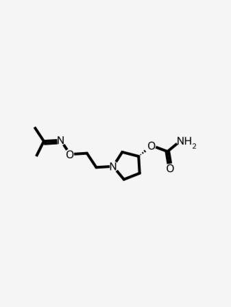 CC(C)=NOCCN1CC[C@@H](OC(N)=O)C1